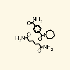 NC(=O)CCCCC(N)=O.NC(=O)c1ccc(C(=O)N2CCCCCC2)cc1